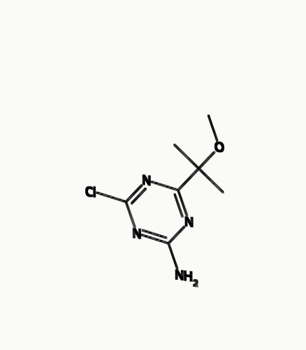 COC(C)(C)c1nc(N)nc(Cl)n1